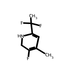 CC1=C(F)CNC(C(C)(F)F)=C1